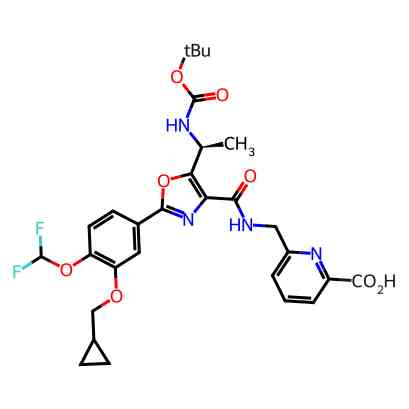 C[C@H](NC(=O)OC(C)(C)C)c1oc(-c2ccc(OC(F)F)c(OCC3CC3)c2)nc1C(=O)NCc1cccc(C(=O)O)n1